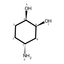 N[C@@H]1CC[C@@H](O)[C@@H](O)C1